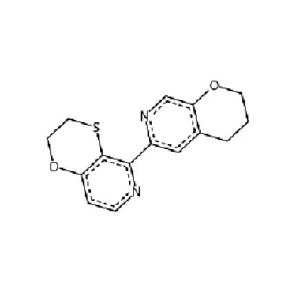 [c]1cc2c(c(-c3cc4c(cn3)OCCC4)n1)SCCO2